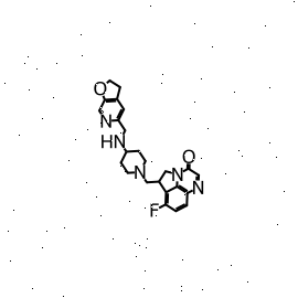 O=c1cnc2ccc(F)c3c2n1CC3CN1CCC(NCc2cc3c(cn2)OCC3)CC1